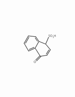 O=C1C=CC(S(=O)(=O)O)c2ccccc21